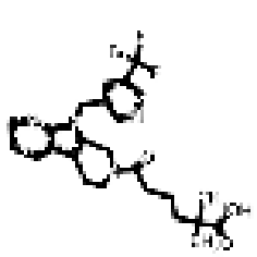 CC(C)(CCCC(=O)N1CCc2c(n(Cc3cncc(C(F)(F)F)c3)c3ncccc23)C1)C(=O)O